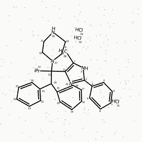 Cc1[nH]c(-c2ccccc2)nc1C(C(C)C)(C(c1ccccc1)c1ccccc1)N1CCNCC1.Cl.Cl.Cl